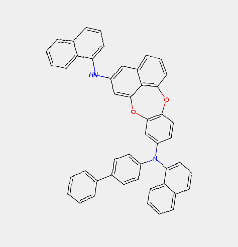 c1ccc(-c2ccc(N(c3ccc4c(c3)Oc3cc(Nc5cccc6ccccc56)cc5cccc(c35)O4)c3cccc4ccccc34)cc2)cc1